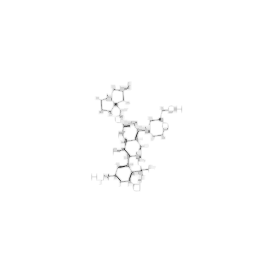 Nc1cc(Cl)c(C(F)(F)F)c(-c2ncc3c(N4CCO[C@H](CO)C4)nc(OCC45CCCN4CC(F)C5)nc3c2F)c1